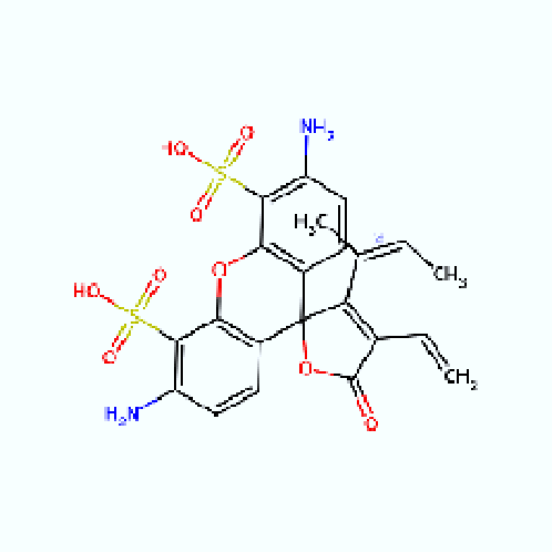 C=CC1=C(/C(C)=C\C)C2(OC1=O)c1ccc(N)c(S(=O)(=O)O)c1Oc1c2ccc(N)c1S(=O)(=O)O